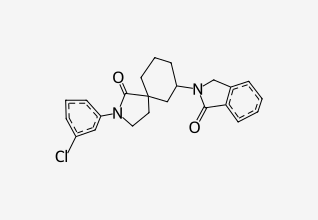 O=C1c2ccccc2CN1C1CCCC2(CCN(c3cccc(Cl)c3)C2=O)C1